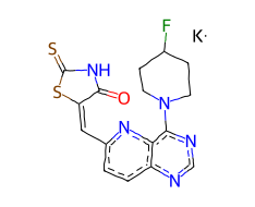 O=C1NC(=S)SC1=Cc1ccc2ncnc(N3CCC(F)CC3)c2n1.[K]